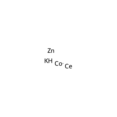 [Ce].[Co].[KH].[Zn]